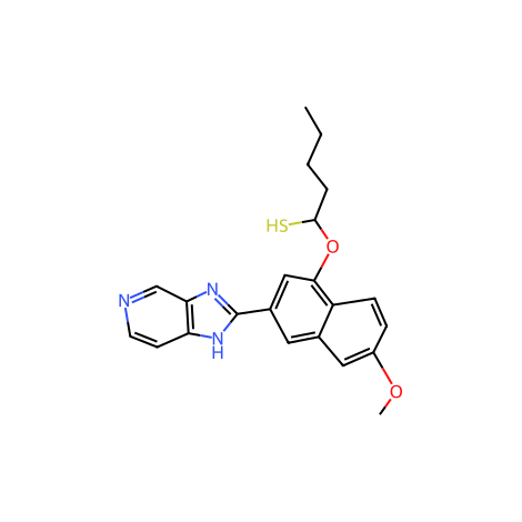 CCCCC(S)Oc1cc(-c2nc3cnccc3[nH]2)cc2cc(OC)ccc12